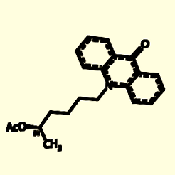 CC(=O)O[C@H](C)CCCCn1c2ccccc2c(=O)c2ccccc21